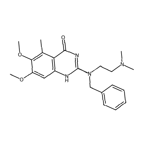 COc1cc2[nH]c(N(CCN(C)C)Cc3ccccc3)nc(=O)c2c(C)c1OC